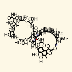 CO[C@H]1/C=C/O[C@@]2(C)Oc3c(C)c(O)c4c(O)c(cc(OCC(=O)NC(C)C(=O)NCC5NC(=O)C(C(C)=O)NC(=O)C(O)CNC(=O)C(C(C)O)NC(=O)C(C(O)C(O)C(N)=O)NC(=O)C(C(C)C)CC(=O)C(CO)NC5=O)c4c3C2=O)NC(=O)/C(C)=C\C=C\[C@H](C)[C@H](O)[C@@H](C)[C@@H](O)[C@@H](C)[C@H](OC(C)=O)[C@@H]1C